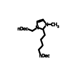 CCCCCCCCCCCCCCC1N(C)C=CN1CCCCCCCCCCC